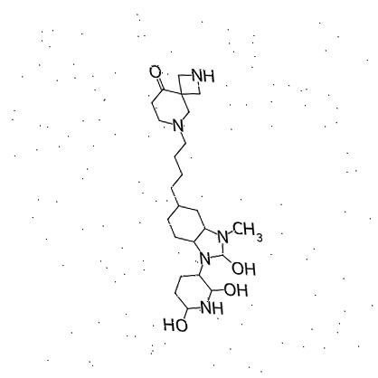 CN1C2CC(CCCCN3CCC(=O)C4(CNC4)C3)CCC2N(C2CCC(O)NC2O)C1O